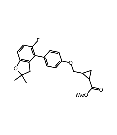 COC(=O)C1CC1COc1ccc(-c2c(F)ccc3c2CC(C)(C)O3)cc1